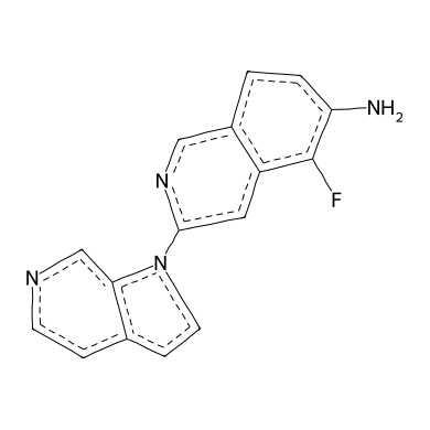 Nc1ccc2cnc(-n3ccc4ccncc43)cc2c1F